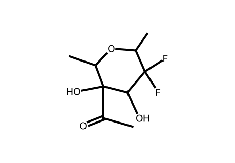 CC(=O)C1(O)C(C)OC(C)C(F)(F)C1O